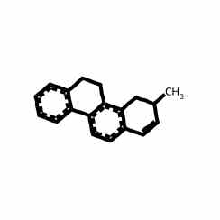 CC1C=Cc2ccc3c(c2C1)CCc1ccccc1-3